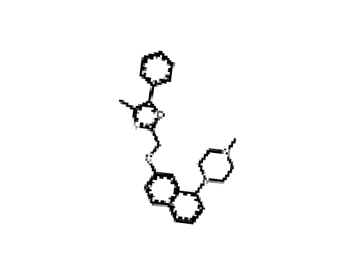 Cc1nc(COc2ccc3cccc(N4CCN(C)CC4)c3c2)oc1-c1ccccc1